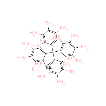 Bc1c(B)c(B)c(C(c2c(B)c(B)c(B)c(B)c2B)(c2c(B)c(B)c(B)c(B)c2B)c2c(B)c(B)c(B)c(B)c2C(C)(C)C)c(B)c1B